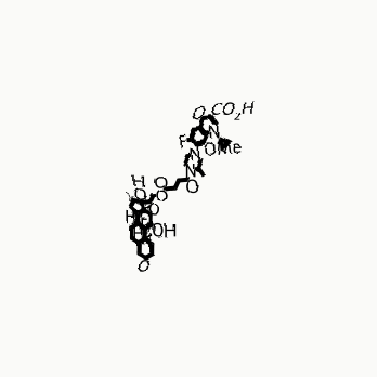 COc1c(N2CCN(C(=O)CCC(=O)OCC(=O)[C@]3(O)[C@@H](C)C[C@@H]4[C@H]5CCC6=CC(=O)C=C[C@@]6(C)[C@]5(F)[C@H](O)C[C@]43C)C(C)C2)c(F)cc2c(=O)c(C(=O)O)cn(C3CC3)c12